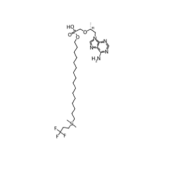 C[C@H](Cn1cnc2c(N)ncnc21)OCP(=O)(O)OCCCCCCCCCCCCCCCC[Si](C)(C)CCC(F)(F)F